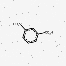 O=C(O)c1[c]ccc(S(=O)(=O)O)c1